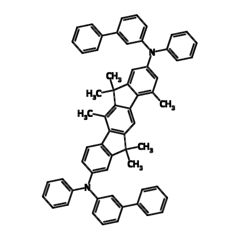 Cc1cc(N(c2ccccc2)c2cccc(-c3ccccc3)c2)cc2c1-c1cc3c(c(C)c1C2(C)C)-c1ccc(N(c2ccccc2)c2cccc(-c4ccccc4)c2)cc1C3(C)C